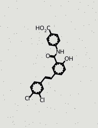 O=C(O)c1ccc(NC(=O)c2cc(C=Cc3ccc(Cl)c(Cl)c3)ccc2O)cc1